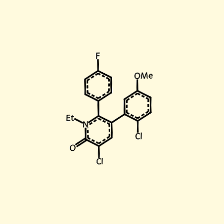 CCn1c(-c2ccc(F)cc2)c(-c2cc(OC)ccc2Cl)cc(Cl)c1=O